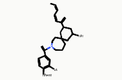 C=C(/C=C\C=C/C)C1CC(CCC)CC2(CCCN(C(=C)c3ccc(CCCCC)c(CC)c3)CC2)C1